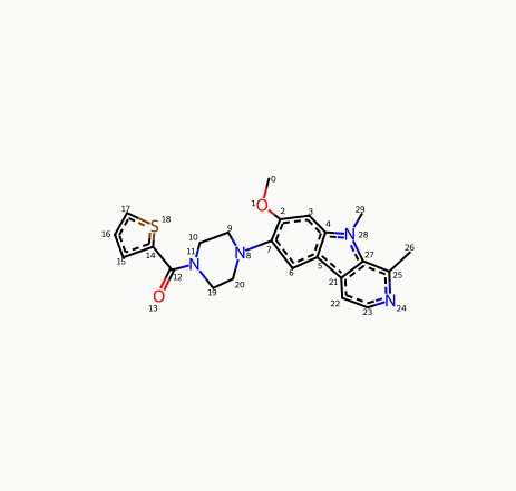 COc1cc2c(cc1N1CCN(C(=O)c3cccs3)CC1)c1ccnc(C)c1n2C